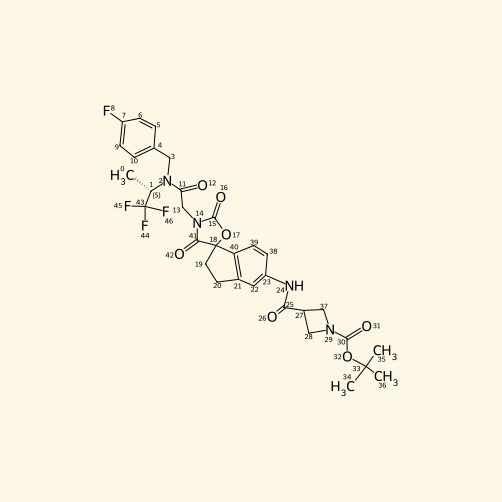 C[C@H](N(Cc1ccc(F)cc1)C(=O)CN1C(=O)OC2(CCc3cc(NC(=O)C4CN(C(=O)OC(C)(C)C)C4)ccc32)C1=O)C(F)(F)F